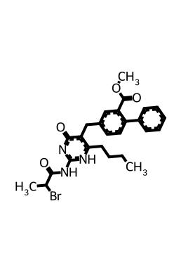 CCCCc1[nH]c(NC(=O)C(C)Br)nc(=O)c1Cc1ccc(-c2ccccc2)c(C(=O)OC)c1